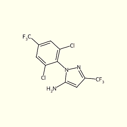 Nc1cc(C(F)(F)F)nn1-c1c(Cl)cc(C(F)(F)F)cc1Cl